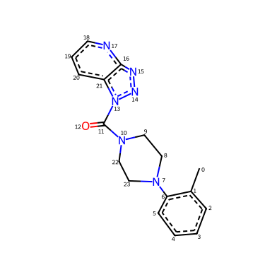 Cc1ccccc1N1CCN(C(=O)n2nnc3ncccc32)CC1